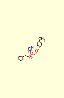 Cc1ccc(COCC2COC(CCc3ccccc3)(Cn3ccnc3)O2)cc1